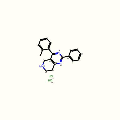 Cc1ccccc1-c1nc(-c2ccccc2)nc2c1CNCC2.Cl.Cl